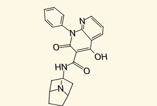 CN1C2CCC1CC(NC(=O)c1c(O)c3cccnc3n(-c3ccccc3)c1=O)C2